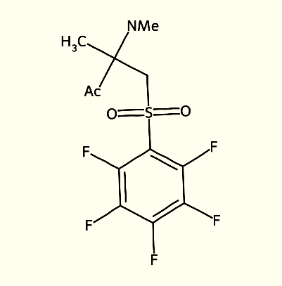 CNC(C)(CS(=O)(=O)c1c(F)c(F)c(F)c(F)c1F)C(C)=O